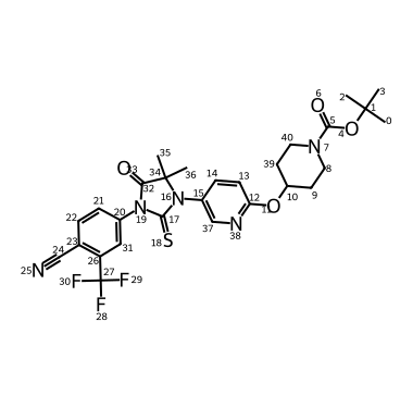 CC(C)(C)OC(=O)N1CCC(Oc2ccc(N3C(=S)N(c4ccc(C#N)c(C(F)(F)F)c4)C(=O)C3(C)C)cn2)CC1